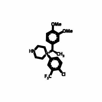 COc1ccc([C@@H](C)[N+]2(c3ccc(Cl)c(C(F)(F)F)c3)CCNCC2)cc1OC